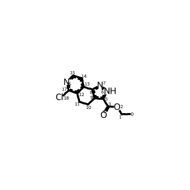 CCOC(=O)c1[nH]nc2c1CCc1c-2ccnc1Cl